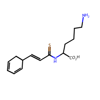 NCCCCC(NC(=S)C=CC1C=CC=CC1)C(=O)O